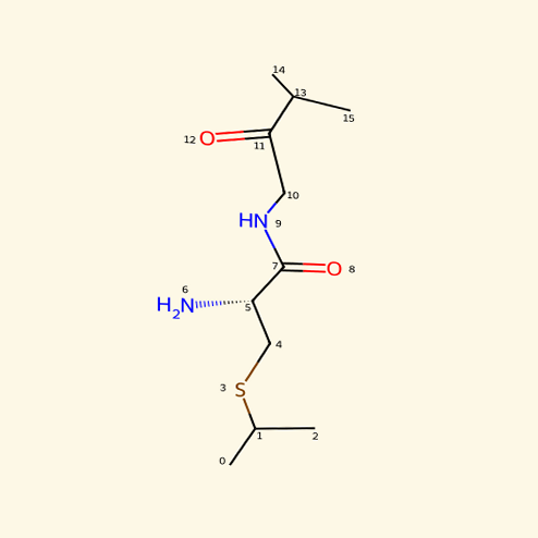 CC(C)SC[C@H](N)C(=O)NCC(=O)C(C)C